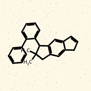 CC1(C)Cc2cc3c(cc2C1c1ccccc1-c1ccccc1)C=CC3